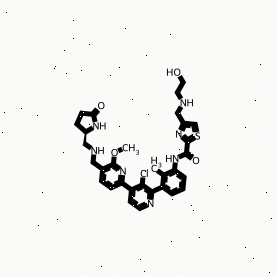 COc1nc(-c2ccnc(-c3cccc(NC(=O)c4nc(CNCCO)cs4)c3C)c2Cl)ccc1CNC[C@H]1CCC(=O)N1